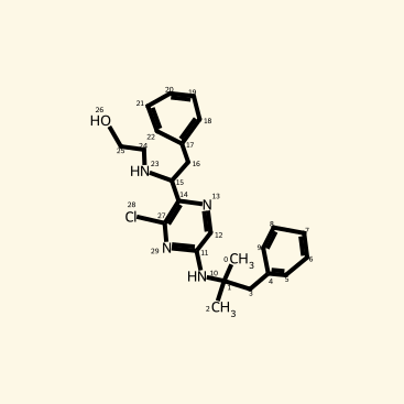 CC(C)(Cc1ccccc1)Nc1cnc(C(Cc2ccccc2)NCCO)c(Cl)n1